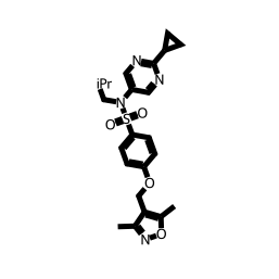 Cc1noc(C)c1COc1ccc(S(=O)(=O)N(CC(C)C)c2cnc(C3CC3)nc2)cc1